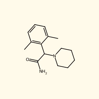 Cc1cccc(C)c1C(C(N)=O)N1CCCCC1